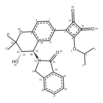 CC(C)Oc1c(-c2ccc3c(c2)[C@@H](N2Cc4ccccc4C2=O)[C@H](O)C(C)(C)O3)c(=O)c1=O